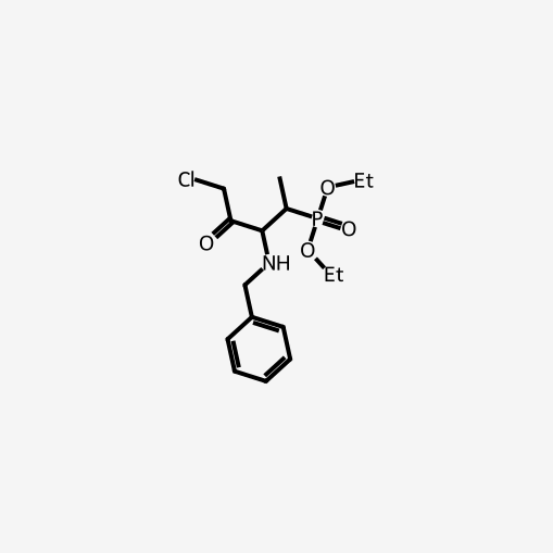 CCOP(=O)(OCC)C(C)C(NCc1ccccc1)C(=O)CCl